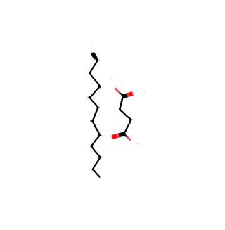 C=CCCCCCCCCCC.O=C(O)CCC(=O)O